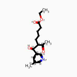 CCOC(=O)CCCCC(C(C)=O)C(=O)c1cncc(C)c1